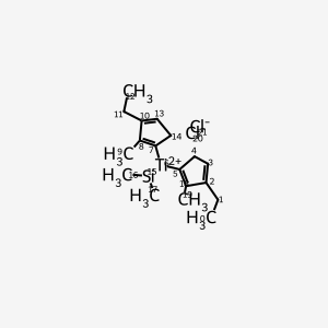 CCC1=CC[C]([Ti+2]([C]2=C(C)C(CC)=CC2)=[Si](C)C)=C1C.[Cl-].[Cl-]